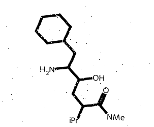 CNC(=O)C(CC(O)C(N)CC1CCCCC1)C(C)C